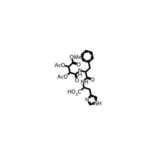 COC(=O)C(OC(C)=O)C(OC(C)=O)C(=O)NC(Cc1ccccc1)C(=O)NC(Cc1c[nH]cn1)C(=O)O